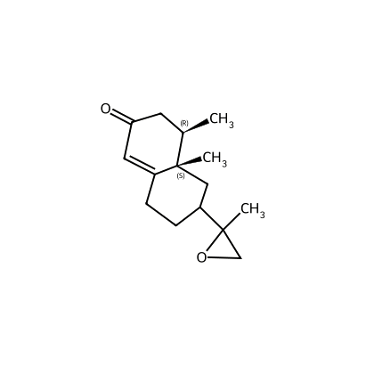 C[C@@H]1CC(=O)C=C2CCC(C3(C)CO3)C[C@]21C